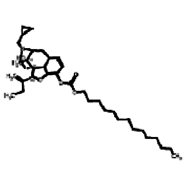 C=C(CC)[C@@H]1OC2=C(OC(=O)OCCCCCCCCCCCCCC)C=CC3CC4N(CC5CC5)CC[C@@]1(C23)[C@]4(C)O